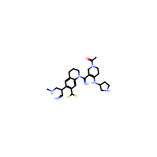 CNCC(C=N)c1cc2c(cc1C(F)F)N(C(=N)C1=C(NC3CCNC3)CCN(C(C)=O)C1)CCC2